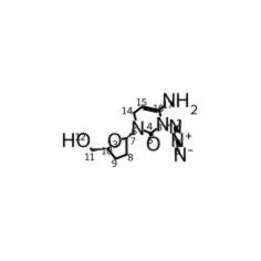 [N-]=[N+]=NN1C(=O)N([C@H]2CC[C@@H](CO)O2)CC=C1N